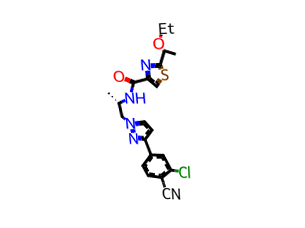 CCOC(C)c1nc(C(=O)N[C@@H](C)Cn2ccc(-c3ccc(C#N)c(Cl)c3)n2)cs1